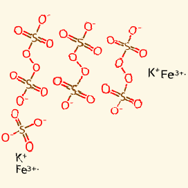 O=S(=O)([O-])OOS(=O)(=O)[O-].O=S(=O)([O-])OOS(=O)(=O)[O-].O=S(=O)([O-])OOS(=O)(=O)[O-].O=S(=O)([O-])[O-].[Fe+3].[Fe+3].[K+].[K+]